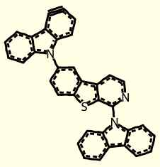 c1ccc2c(c#1)c1ccccc1n2-c1ccc2sc3c(-n4c5ccccc5c5ccccc54)nccc3c2c1